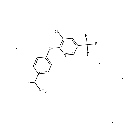 CC(N)c1ccc(Oc2ncc(C(F)(F)F)cc2Cl)cc1